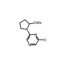 COC1CCCN1c1cncc(Cl)n1